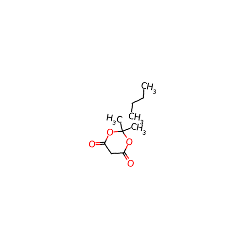 CC1(C)OC(=O)CC(=O)O1.CCCC